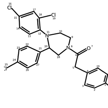 Cc1ccc(CC(=O)N2CCN(c3ccc(Cl)cc3Cl)C(c3ccc(Cl)cc3)C2)cc1